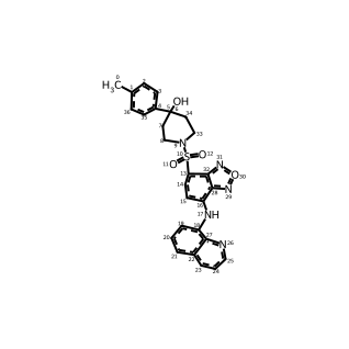 Cc1ccc(C2(O)CCN(S(=O)(=O)c3ccc(Nc4cccc5cccnc45)c4nonc34)CC2)cc1